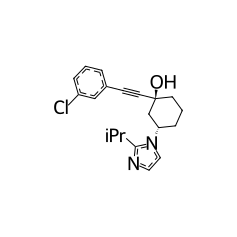 CC(C)c1nccn1[C@H]1CCC[C@@](O)(C#Cc2cccc(Cl)c2)C1